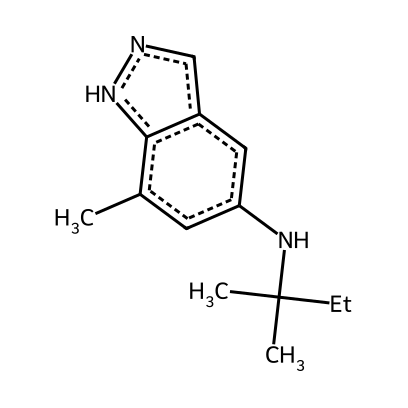 CCC(C)(C)Nc1cc(C)c2[nH]ncc2c1